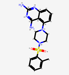 Cc1ccccc1S(=O)(=O)N1CCN(c2cccc3nc(N)nc(N)c23)CC1